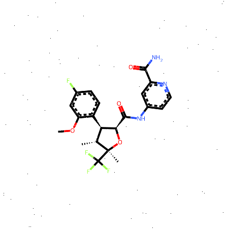 COc1cc(F)ccc1[C@H]1[C@@H](C(=O)Nc2ccnc(C(N)=O)c2)O[C@@](C)(C(F)(F)F)[C@@H]1C